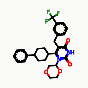 O=c1[nH]c(=O)n(C2COCCO2)c(C2CCC(c3ccccc3)CC2)c1Cc1cccc(C(F)(F)F)c1